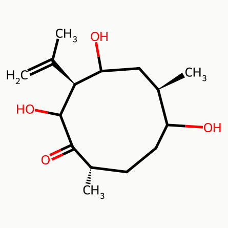 C=C(C)[C@H]1C(O)C[C@@H](C)C(O)CC[C@H](C)C(=O)C1O